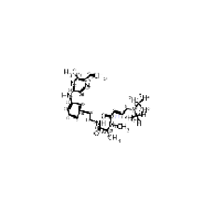 [2H]C([2H])([2H])N(C/C=C/C(=O)N(C)[C@@H](C)C(=O)NCCc1cccc(Nc2cnc(CC)c(C)n2)c1)C([2H])([2H])[2H]